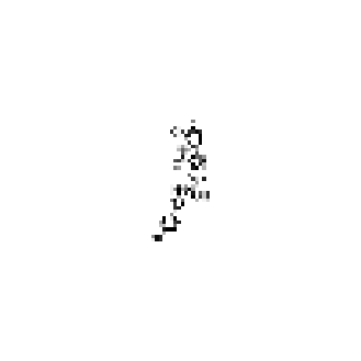 N#Cc1ccc([C@H]2C[C@@H](NC(O)N3CCn4nc(-c5ccc(F)c(Cl)c5)c(C(N)=O)c4C3)C2)cc1